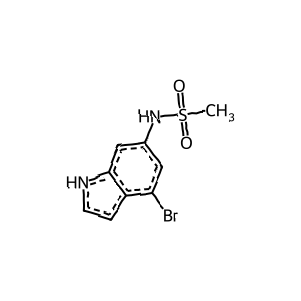 CS(=O)(=O)Nc1cc(Br)c2cc[nH]c2c1